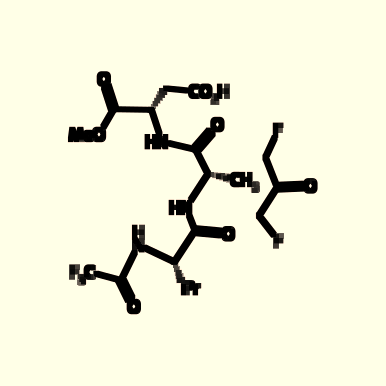 COC(=O)[C@H](CC(=O)O)NC(=O)[C@H](C)NC(=O)[C@@H](NC(=O)C(F)(F)F)C(C)C.O=C(CF)CF